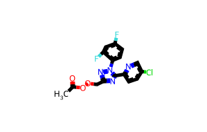 CC(=O)OOCc1nc(-c2ccc(Cl)cn2)n(-c2ccc(F)cc2F)n1